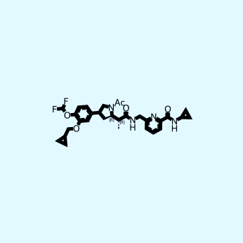 CC(=O)N1CC(c2ccc(OC(F)F)c(OCC3CC3)c2)C[C@@H]1[C@@H](C)C(=O)NCc1cccc(C(=O)NC2CC2)n1